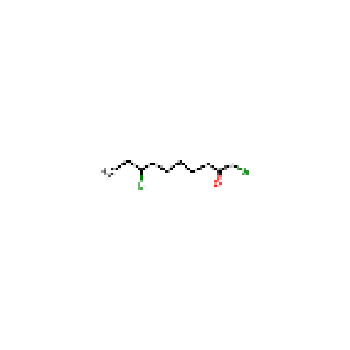 CCC(Br)CCCCCC(=O)CBr